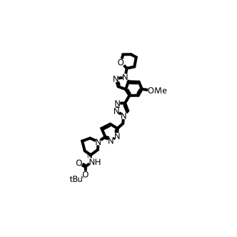 COc1cc(-c2cn(Cc3ccc(N4CCC[C@@H](NC(=O)OC(C)(C)C)C4)nn3)nn2)c2cnn(C3CCCCO3)c2c1